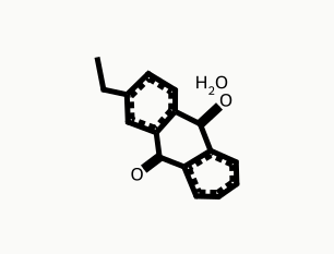 CCc1ccc2c(c1)C(=O)c1ccccc1C2=O.O